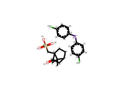 CC1(C)C2CCC1(CS(=O)(=O)[O-])C(=O)C2.Fc1ccc([I+]c2ccc(F)cc2)cc1